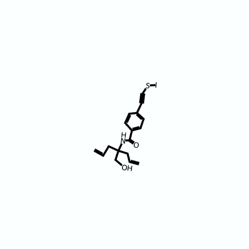 C=CCC(CO)(CC=C)NC(=O)c1ccc(C#CSI)cc1